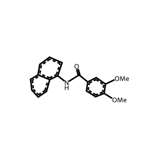 COc1ccc(C(=O)Nc2cccc3ccccc23)cc1OC